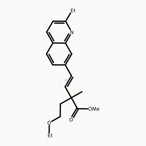 CCOCCC(C)(/C=C/c1ccc2ccc(CC)nc2c1)C(=O)OC